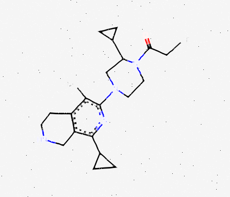 N#Cc1c(N2CCN(C(=O)CC(F)(F)F)C(C3CC3)C2)nc(C2CC2)c2c1CCNC2